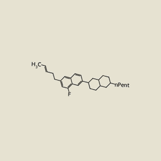 C/C=C/CCc1cc(F)c2cc(C3CCC4CC(CCCCC)CCC4C3)ccc2c1